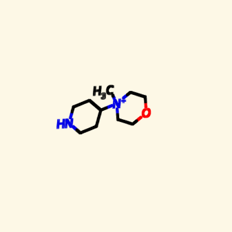 C[N+]1(C2CCNCC2)CCOCC1